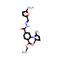 CC(=O)OCOC(=O)c1ccc(C(=O)N/N=C/c2ccc(S(=O)(=O)O)o2)cc1-n1c(C)ccc1C